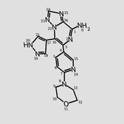 Nc1nc(-c2ccc(N3CCOCC3)nc2)c(-c2cn[nH]c2)n2ncnc12